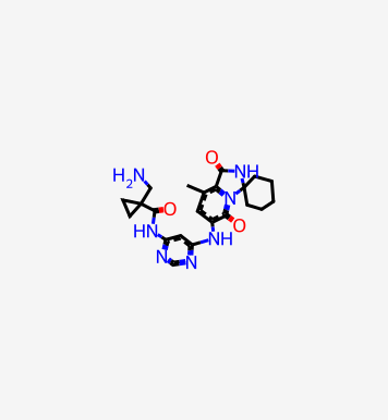 Cc1cc(Nc2cc(NC(=O)C3(CN)CC3)ncn2)c(=O)n2c1C(=O)NC21CCCCC1